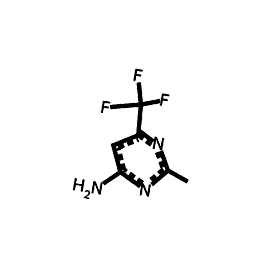 Cc1nc(N)cc(C(F)(F)F)n1